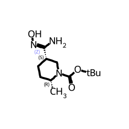 C[C@@H]1CC[C@H](/C(N)=N/O)CN1C(=O)OC(C)(C)C